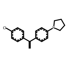 C=C(c1ccc(Cl)cc1)c1ccc(N2CCCC2)cc1